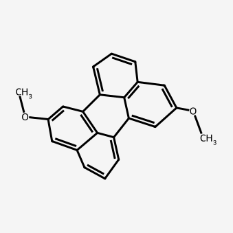 COc1cc2cccc3c4cc(OC)cc5cccc(c(c1)c23)c54